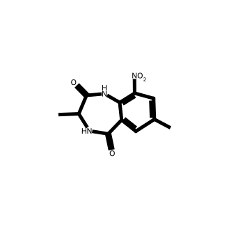 Cc1cc2c(c([N+](=O)[O-])c1)NC(=O)C(C)NC2=O